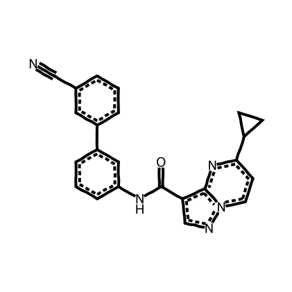 N#Cc1cccc(-c2cccc(NC(=O)c3cnn4ccc(C5CC5)nc34)c2)c1